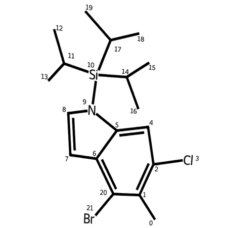 Cc1c(Cl)cc2c(ccn2[Si](C(C)C)(C(C)C)C(C)C)c1Br